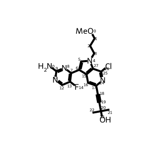 COCCCn1cc(-c2nc(N)ncc2F)c2cc(C#CC(C)(C)O)nc(Cl)c21